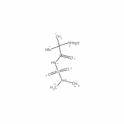 CCCCCCCC(C)(CCCC)C(=O)NS(=O)(=O)N(C)C